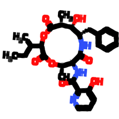 CCC(C)C1OC(=O)[C@H](C)[C@H](O)[C@H](Cc2ccccc2)NC(=O)[C@@H](NC(=O)c2ncccc2O)[C@@H](C)OC1=O